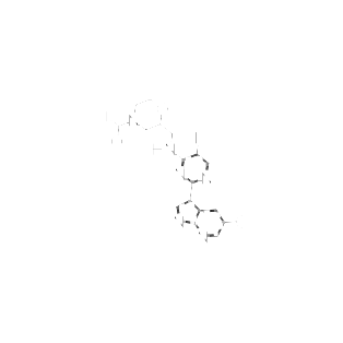 CCC(O)N1CCOC(CNc2nc(-c3c[nH]c4ncc(Cl)cc34)ncc2F)C1